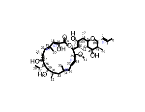 C/C=C/[C@H]1OC([C@@H](C)[C@H](O)[C@H](C)C2OC(=O)/C(O)=C/C(C)=C/[C@@H](C)[C@@H](O)[C@@H](CC)[C@@H](O)[C@H](C)C/C(C)=C/C=C/[C@@H]2OC)C[C@@H](O)[C@@H]1C